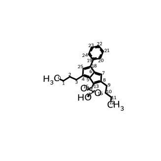 CCCCC1=C2C(=CC(CCCC)=C2S(=O)(=O)O)C(c2ccccc2)=C1